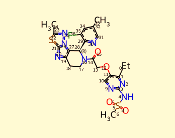 CCc1nc(NS(C)(=O)=O)ncc1OCC(=O)N1CCc2nc3sc(C)nn3c2[C@H]1c1ncc(C)cc1F